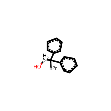 CCCC([SiH2]O)(c1ccccc1)c1ccccc1